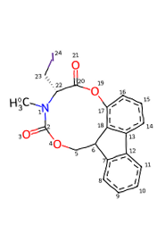 CN1C(=O)OCC2c3ccccc3-c3cccc(c32)OC(=O)[C@H]1CI